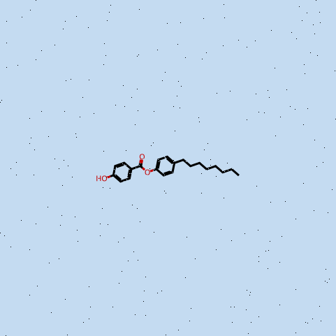 CCCCCCCCc1ccc(OC(=O)c2ccc(O)cc2)cc1